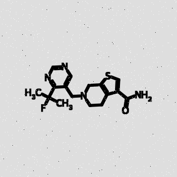 CC(C)(F)c1ncncc1CN1CCc2c(C(N)=O)csc2C1